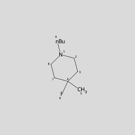 CCCCN1CCC(C)(F)CC1